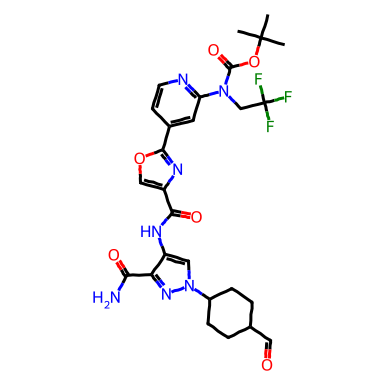 CC(C)(C)OC(=O)N(CC(F)(F)F)c1cc(-c2nc(C(=O)Nc3cn(C4CCC(C=O)CC4)nc3C(N)=O)co2)ccn1